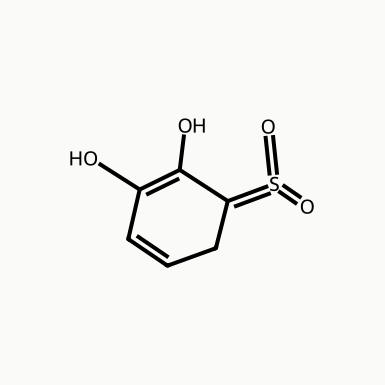 O=S(=O)=C1CC=CC(O)=C1O